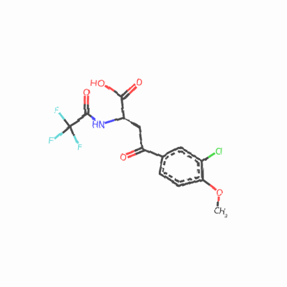 COc1ccc(C(=O)C[C@@H](NC(=O)C(F)(F)F)C(=O)O)cc1Cl